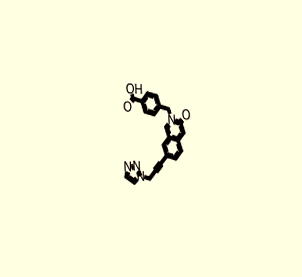 O=C(O)c1ccc(Cn2cc3cc(C#CCn4ccnn4)ccc3cc2=O)cc1